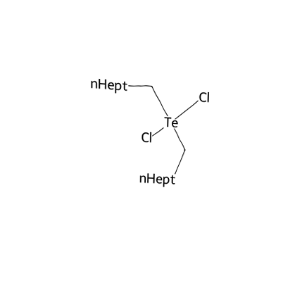 CCCCCCCC[Te](Cl)(Cl)CCCCCCCC